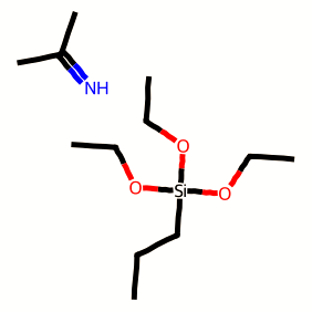 CC(C)=N.CCC[Si](OCC)(OCC)OCC